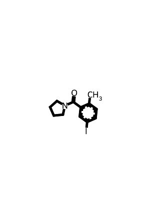 Cc1ccc(I)cc1C(=O)N1CCCC1